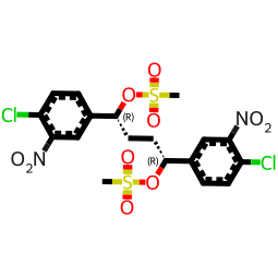 CS(=O)(=O)O[C@H](CC[C@@H](OS(C)(=O)=O)c1ccc(Cl)c([N+](=O)[O-])c1)c1ccc(Cl)c([N+](=O)[O-])c1